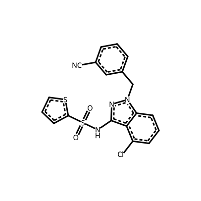 N#Cc1cccc(Cn2nc(NS(=O)(=O)c3cccs3)c3c(Cl)cccc32)c1